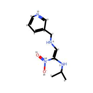 CC(C)NC(=CNCc1cccnc1)[N+](=O)[O-]